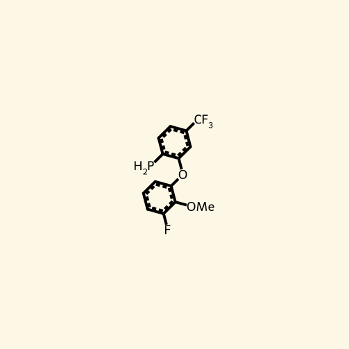 COc1c(F)cccc1Oc1cc(C(F)(F)F)ccc1P